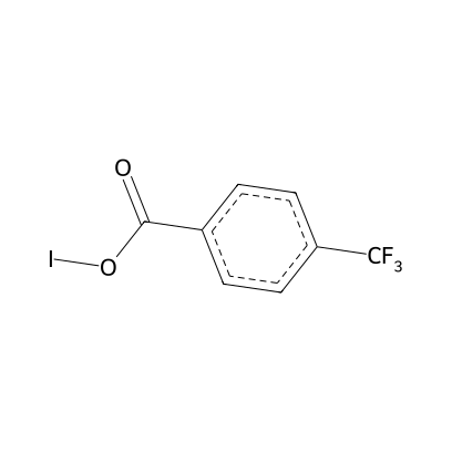 O=C(OI)c1ccc(C(F)(F)F)cc1